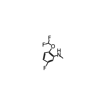 CNc1cc(F)ccc1OC(F)F